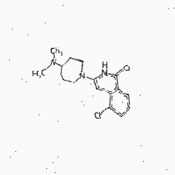 CN(C)C1CCN(c2cc3c(Cl)cccc3c(=O)[nH]2)CC1